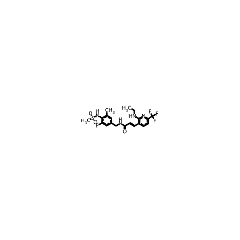 CCNc1nc(C(F)(F)F)ccc1C=CC(=O)NCc1cc(C)c(NS(C)(=O)=O)c(F)c1